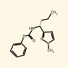 CCC[C@@H](NC(=O)Oc1ccccc1)c1ccn(C)n1